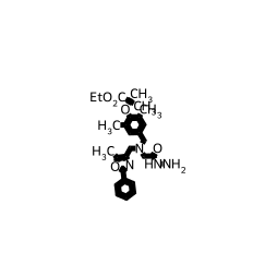 CCOC(=O)C(C)(C)Oc1c(C)cc(CN(CC(=O)NN)Cc2nc(-c3ccccc3)oc2C)cc1C